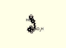 O=C(NC(CC=Cc1ccc(C2(O)CCOCC2)cc1)C(=O)O)c1c(Cl)cccc1Cl